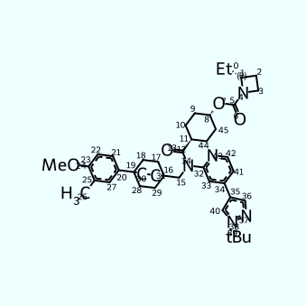 CC[C@@H]1CCN1C(=O)O[C@H]1CC[C@H](C(=O)N(CC23CCC(c4ccc(OC)c(C)c4)(CC2)CC3)c2cc(-c3cnn(C(C)(C)C)c3)ccn2)CC1